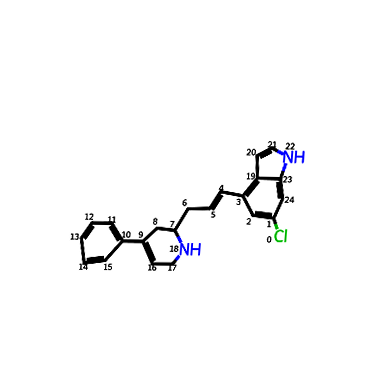 Clc1cc(C=CCC2CC(c3ccccc3)=CCN2)c2cc[nH]c2c1